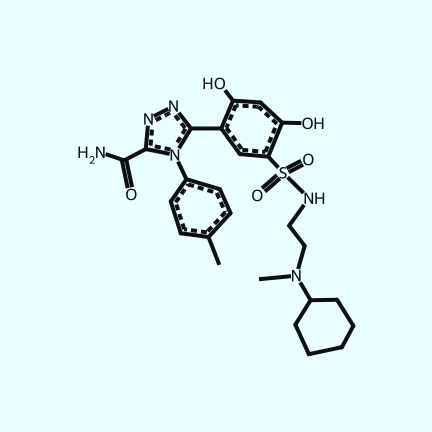 Cc1ccc(-n2c(C(N)=O)nnc2-c2cc(S(=O)(=O)NCCN(C)C3CCCCC3)c(O)cc2O)cc1